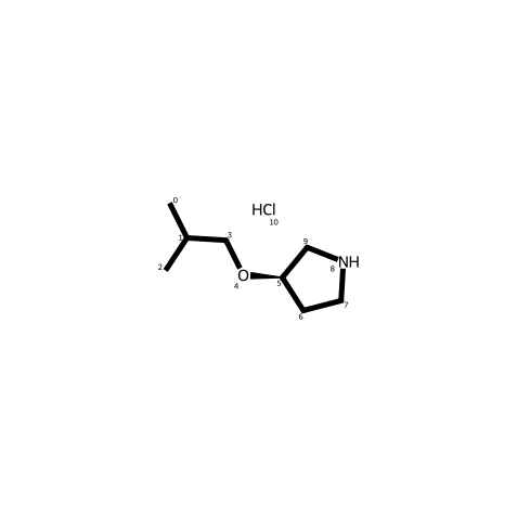 CC(C)CO[C@@H]1CCNC1.Cl